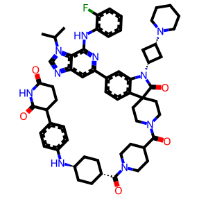 CC(C)n1cnc2cc(-c3ccc4c(c3)N([C@H]3C[C@@H](N5CCCCC5)C3)C(=O)C43CCN(C(=O)C4CCN(C(=O)[C@H]5CC[C@H](Nc6ccc(C7CCC(=O)NC7=O)cc6)CC5)CC4)CC3)nc(Nc3ccccc3F)c21